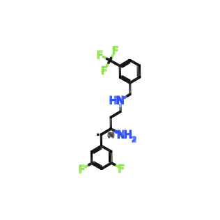 N[C@@H]([CH]c1cc(F)cc(F)c1)CCNCc1cccc(C(F)(F)F)c1